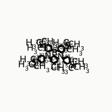 C[Si](C)(C)c1ccc(N2c3cc([Si](C)(C)C)ccc3B3c4ccc([Si](C)(C)C)cc4N(c4ccc([Si](C)(C)C)cc4)c4cc(C(F)(F)F)cc2c43)cc1